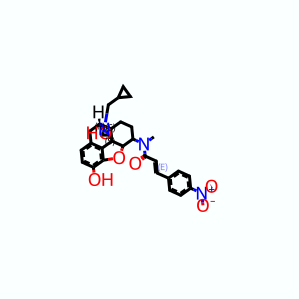 CN(C(=O)/C=C/c1ccc([N+](=O)[O-])cc1)C1CC[C@@]2(O)[C@H]3Cc4ccc(O)c5c4[C@@]2(CCN3CC2CC2)C1O5